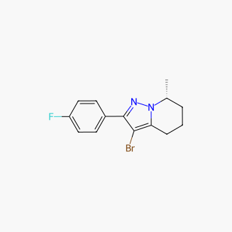 C[C@@H]1CCCc2c(Br)c(-c3ccc(F)cc3)nn21